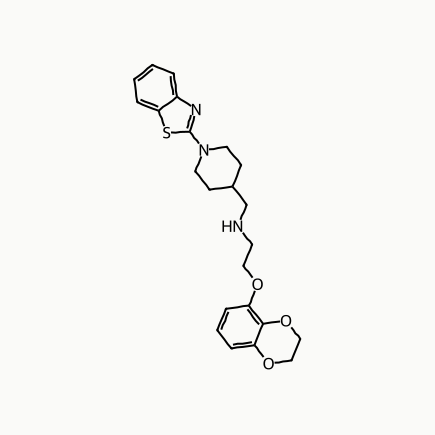 c1cc(OCCNCC2CCN(c3nc4ccccc4s3)CC2)c2c(c1)OCCO2